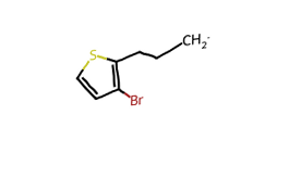 [CH2]CCc1sccc1Br